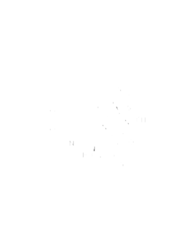 CN1C(=O)[C@@]2(SC(=O)Oc3ccccc3)C[C@](C)(C#N)[C@H](c3ccc4c(c3)OCO4)N2C(=O)[C@]1(C)SC(=O)Cc1ccccc1